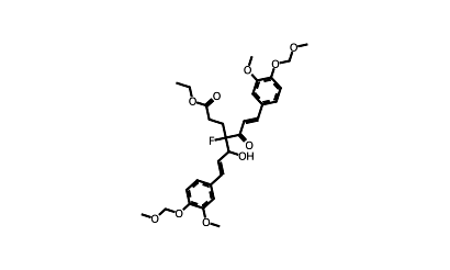 CCOC(=O)CCC(F)(C(=O)/C=C/c1ccc(OCOC)c(OC)c1)C(O)/C=C/c1ccc(OCOC)c(OC)c1